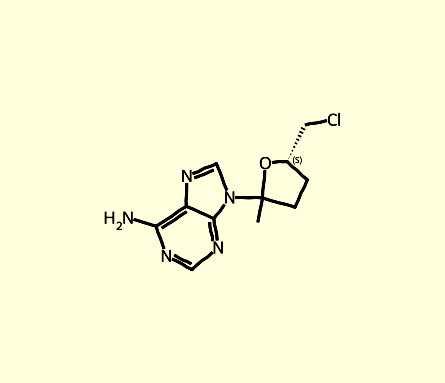 CC1(n2cnc3c(N)ncnc32)CC[C@@H](CCl)O1